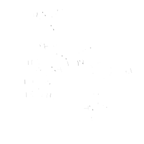 CNC(=O)OCc1cc(NC(=O)C(CCCNC(N)=O)NC(=O)C(NC(=O)OC(C)(C)C)C(C)C)ccc1CCl